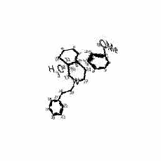 COc1cccc([C@@]23CCCC[C@]2(C)CN(CCc2ccccc2)CC3)c1